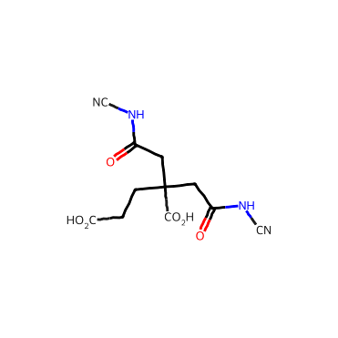 N#CNC(=O)CC(CCC(=O)O)(CC(=O)NC#N)C(=O)O